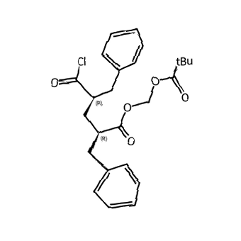 CC(C)(C)C(=O)OCOC(=O)[C@@H](Cc1ccccc1)C[C@H](Cc1ccccc1)C(=O)Cl